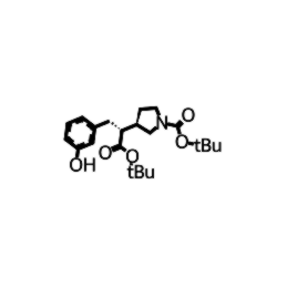 CC(C)(C)OC(=O)[C@H](Cc1cccc(O)c1)[C@H]1CCN(C(=O)OC(C)(C)C)C1